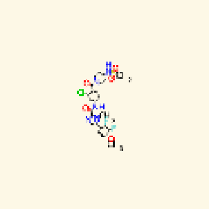 COc1ccc(-c2cnc(C(=O)Nc3ccc(C(=O)N4CCC(NS(C)(=O)=O)CC4)c(Cl)c3)n2C)c(F)c1F